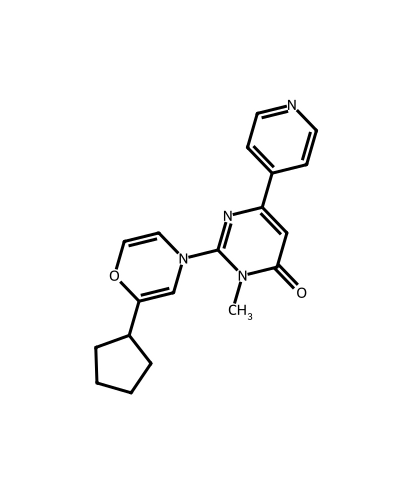 Cn1c(N2C=COC(C3CCCC3)=C2)nc(-c2ccncc2)cc1=O